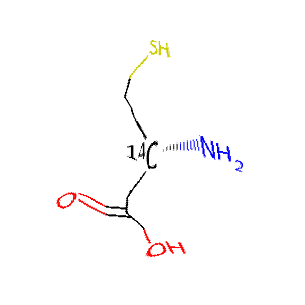 N[14C@@H](CS)C(=O)O